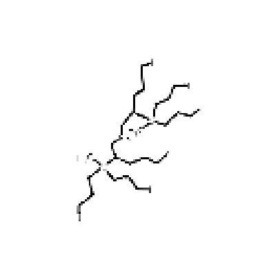 CS(CCCI)(CCCI)C(CCCI)CNCC(CCCI)S(C)(CCCI)CCCI